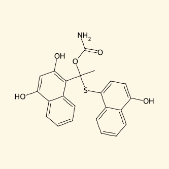 CC(OC(N)=O)(Sc1ccc(O)c2ccccc12)c1c(O)cc(O)c2ccccc12